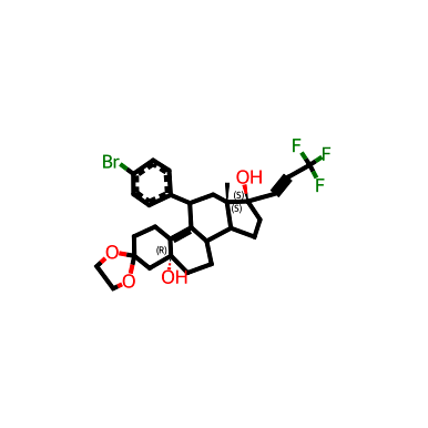 C[C@]12CC(c3ccc(Br)cc3)C3=C4CCC5(C[C@]4(O)CCC3C1CC[C@@]2(O)C#CC(F)(F)F)OCCO5